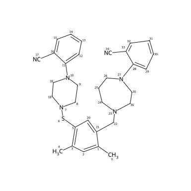 Cc1cc(C)c(SN2CCN(c3ccccc3C#N)CC2)cc1CN1CCCN(c2ccccc2C#N)CC1